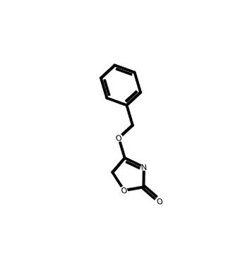 O=C1N=C(OCc2ccccc2)CO1